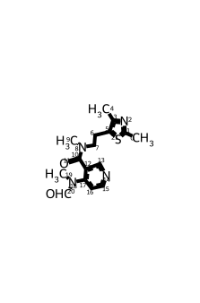 Cc1nc(C)c(CCN(C)C(=O)c2cnccc2N(C)C=O)s1